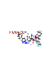 COc1cc(-c2cnc(N)c(-c3ccc(NC(=O)c4cn(CC(F)(F)F)cc(-c5ccc(F)cc5)c4=O)cc3)c2)ccc1OCCO